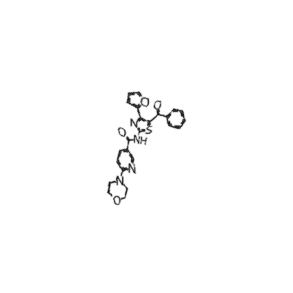 O=C(Nc1nc(-c2ccco2)c(C(=O)c2ccccc2)s1)c1ccc(N2CCOCC2)nc1